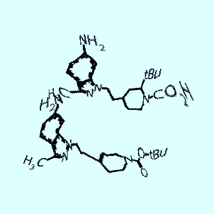 Cc1nn(CCC2CCN(C(=O)O)C(C(C)(C)C)C2)c2cc(N)ccc12.Cc1nn(CCC2CCN(C(=O)OC(C)(C)C)CC2)c2cc(N)ccc12